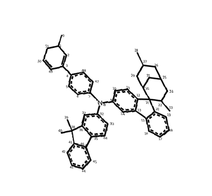 CC1C=C(c2ccc(N(c3ccc4c(c3)-c3ccccc3C43C(C)CC4CC(C)CC3C4)c3ccc4c(c3)C(C)(C)c3ccccc3-4)cc2)C=CC1